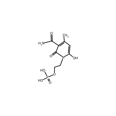 Cc1cc(O)n(CCOP(=O)(O)O)c(=O)c1C(N)=O